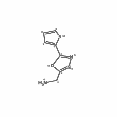 NCc1nnc(-c2cccs2)o1